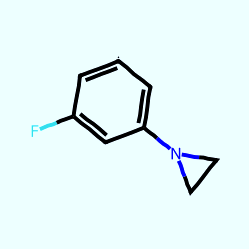 Fc1c[c]cc(N2CC2)c1